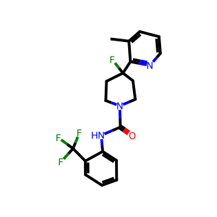 Cc1cccnc1C1(F)CCN(C(=O)Nc2ccccc2C(F)(F)F)CC1